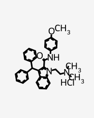 COc1ccc(NC(=O)c2c(C(c3ccccc3)c3ccccc3)c3ccccc3n2CCN(C)C)cc1.Cl